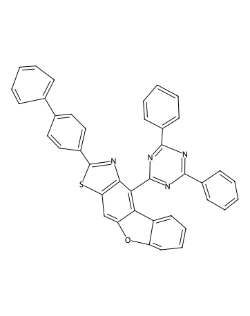 c1ccc(-c2ccc(-c3nc4c(-c5nc(-c6ccccc6)nc(-c6ccccc6)n5)c5c(cc4s3)oc3ccccc35)cc2)cc1